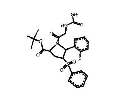 CC(C)(C)OC(=O)C1CC(S(=O)(=O)c2ccccc2)C(c2ccccc2F)N1C(=O)CNC([NH])=O